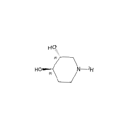 [2H]N1CC[C@@H](O)[C@H](O)C1